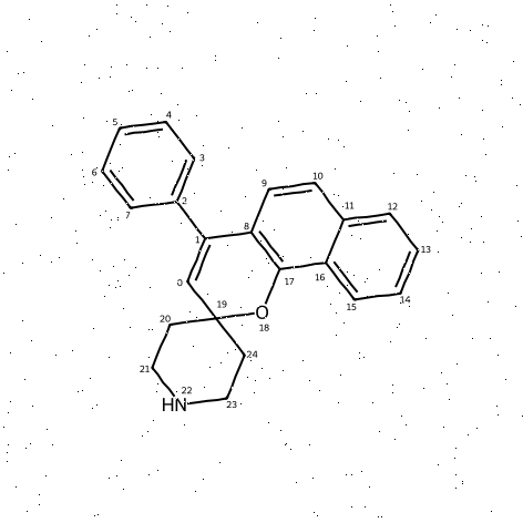 C1=C(c2ccccc2)c2ccc3ccccc3c2OC12CCNCC2